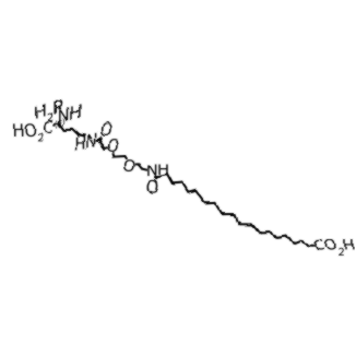 O=C(O)CCCCCCCCCCCCCCCCCCC(=O)NCCOCCOCC(=O)NCCCC[C@H](NP)C(=O)O